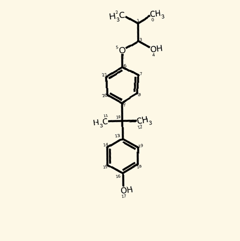 CC(C)C(O)Oc1ccc(C(C)(C)c2ccc(O)cc2)cc1